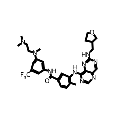 Cc1ccc(C(=O)Nc2cc(N(C)CCN(C)C)cc(C(F)(F)F)c2)cc1Nc1ncnc2cnc(NCC3CCOC3)nc12